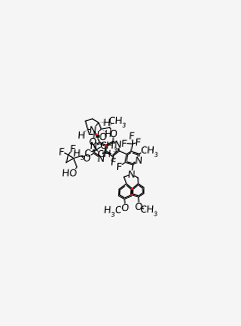 COc1ccc(CN(Cc2ccc(OC)cc2)c2nc(C)c(C(F)(F)F)c(-c3nc4c5c(nc(OCC6(CO)CC6(F)F)nc5c3F)N3C[C@H]5CC[C@@H]([C@H]3[C@H](C)O4)N5C(=O)OC(C)(C)C)c2F)cc1